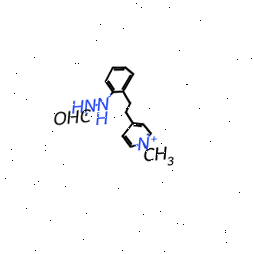 C[n+]1ccc(CCc2ccccc2NNC=O)cc1